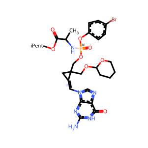 CCCC(C)OC(=O)C(C)N[P@](=O)(OCC1(COC2CCCCO2)C/C1=C/n1cnc2c(=O)[nH]c(N)nc21)Oc1ccc(Br)cc1